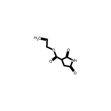 C=CCOC(=O)C1CC(=O)NC1=O